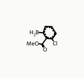 Bc1cccc(Cl)c1C(=O)OC